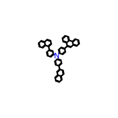 c1cc(-c2cccc3ccccc23)cc(N(c2ccc(-c3ccc4ccccc4c3)cc2)c2ccc(-c3cc4ccccc4c4ccccc34)cc2)c1